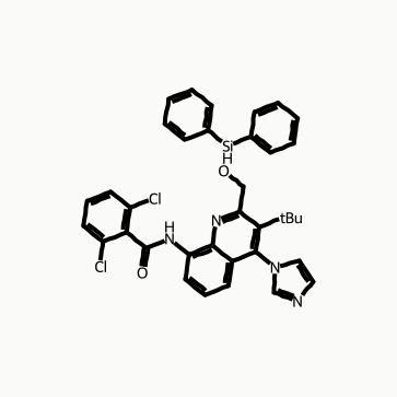 CC(C)(C)c1c(CO[SiH](c2ccccc2)c2ccccc2)nc2c(NC(=O)c3c(Cl)cccc3Cl)cccc2c1-n1ccnc1